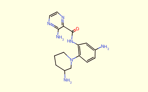 Nc1ccc(N2CCCC(N)C2)c(NC(=O)c2nccnc2N)c1